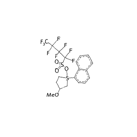 COC1CCS(OS(=O)(=O)C(F)(F)C(F)(F)C(F)(F)C(F)(F)F)(c2cccc3ccccc23)C1